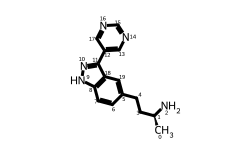 C[C@H](N)CCc1ccc2[nH]nc(-c3cncnc3)c2c1